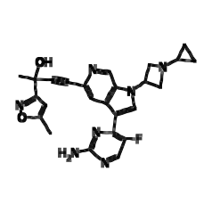 Cc1cc(C(C)(O)C#Cc2cc3c(-c4nc(N)ncc4F)cn(C4CN(C5CC5)C4)c3cn2)no1